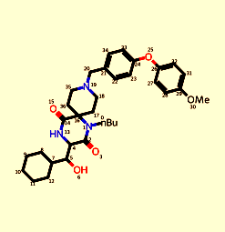 CCCCN1C(=O)C(C(O)C2CCCCC2)NC(=O)C12CCN(Cc1ccc(Oc3ccc(OC)cc3)cc1)CC2